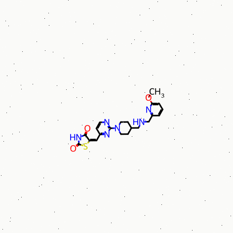 COc1cccc(CNCC2CCN(c3nccc(C=C4SC(=O)NC4=O)n3)CC2)n1